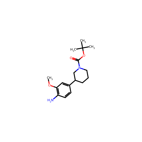 COc1cc(C2CCCN(C(=O)OC(C)(C)C)C2)ccc1N